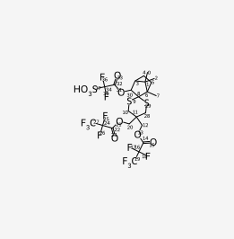 CC1(C)C2CCC1(C)C1(SCC(COC(=O)C(F)(F)C(F)(F)F)(COC(=O)C(F)(F)C(F)(F)F)CS1)C2OC(=O)C(F)(F)S(=O)(=O)O